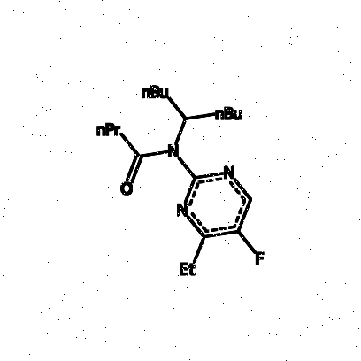 CCCCC(CCCC)N(C(=O)CCC)c1ncc(F)c(CC)n1